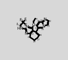 CCOc1nc(N[C@H](C)C(F)(F)F)nc2c1C(c1ccc3nccn3c1)=CCCC2